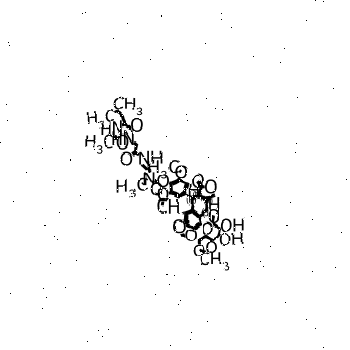 COc1cc([C@@H]2c3cc4c(cc3[C@@H](OC3OC5COC(C)OC5C(O)C3O)[C@H]3COC(=O)[C@H]23)OCO4)cc(OC)c1OC(=O)N(C)CCNC(=O)CNC(=O)C(CC(C)C)NC(C)=O